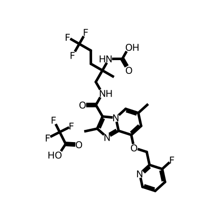 Cc1cc(OCc2ncccc2F)c2nc(C)c(C(=O)NCC(C)(CCC(F)(F)F)NC(=O)O)n2c1.O=C(O)C(F)(F)F